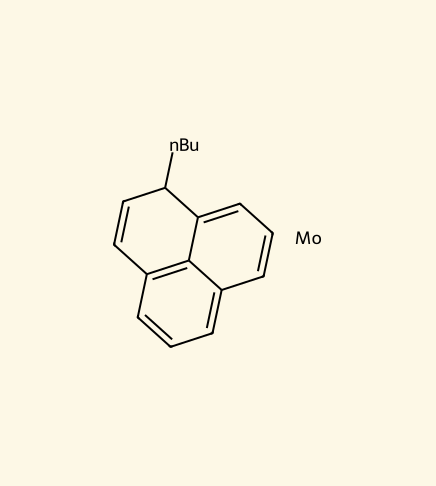 CCCCC1C=Cc2cccc3cccc1c23.[Mo]